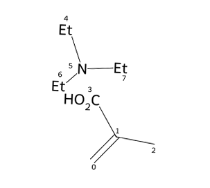 C=C(C)C(=O)O.CCN(CC)CC